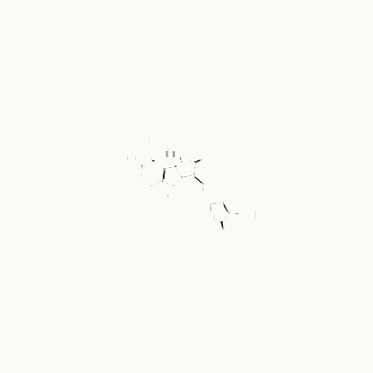 CC(=O)O[C@@H]1C2=C([C@H]3OC(=O)/C(=C/O[C@H]4C=C(C)C(=O)O4)[C@@H]13)C(C)(C)C(O)CC2